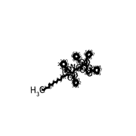 CCCCCCCCCCCCCC[C@@H](OC(=O)c1ccccc1)[C@@H](OC(=O)c1ccccc1)[C@@H](N)COC1OC2COC(c3ccccc3)OC2C(OCc2ccccc2)C1OCc1ccccc1